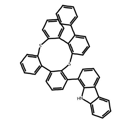 c1ccc(-c2cccc3c2-c2ccccc2Sc2ccccc2-c2cccc(-c4cccc5c4[nH]c4ccccc45)c2S3)cc1